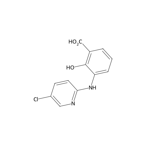 O=C(O)c1cccc(Nc2ccc(Cl)cn2)c1O